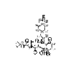 CC(C)(C)OC(=O)CNC(=O)c1c(O)c2c(Br)ccc3c2n(c1=O)C(Cc1ccc(C(F)(F)F)cc1)CO3